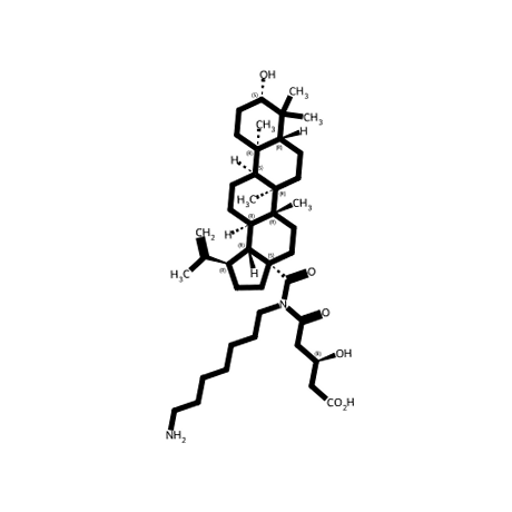 C=C(C)[C@@H]1CC[C@]2(C(=O)N(CCCCCCCN)C(=O)C[C@@H](O)CC(=O)O)CC[C@]3(C)[C@H](CC[C@H]4[C@@]5(C)CC[C@H](O)C(C)(C)[C@@H]5CC[C@]43C)[C@@H]12